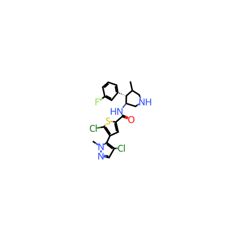 CC1CNC[C@@H](NC(=O)c2cc(-c3c(Cl)cnn3C)c(Cl)s2)[C@@H]1c1cccc(F)c1